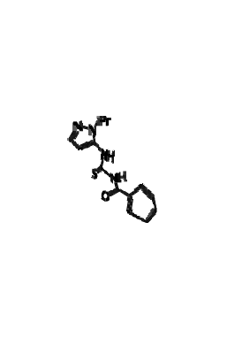 CC(C)n1nccc1NC(=S)NC(=O)c1ccccc1